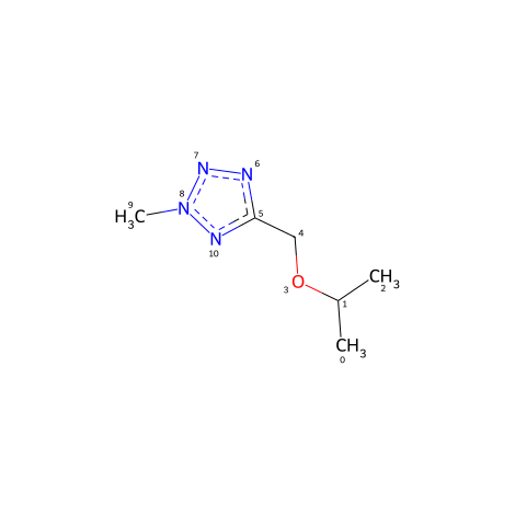 CC(C)OCc1nnn(C)n1